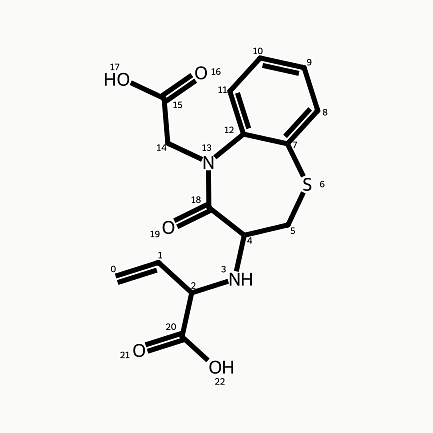 C=CC(NC1CSc2ccccc2N(CC(=O)O)C1=O)C(=O)O